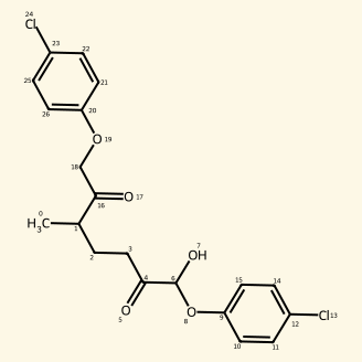 CC(CCC(=O)C(O)Oc1ccc(Cl)cc1)C(=O)COc1ccc(Cl)cc1